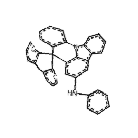 c1ccc(Nc2cc3c4c(c2)c2ccccc2n4-c2ccccc2C32c3ccccc3-c3ccccc32)cc1